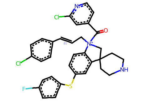 O=C(c1ccnc(Cl)c1)[N+]1(C/C=C/c2ccc(Cl)cc2)CC2(CCNCC2)c2cc(Sc3ccc(F)cc3)ccc21